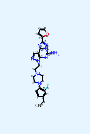 [C-]#[N+]Cc1ccc(N2CCN(CCn3ncc4c3nc(N)n3nc(-c5ccco5)nc43)CC2)c(F)c1